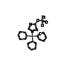 CCS(=O)(=O)Oc1ncn(C(c2ccccc2)(c2ccccc2)c2ccccc2)n1